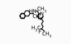 C=C(NC(C)c1ccc(CCCC(C)(F)CC)cn1)C1CCc2ccccc2C1